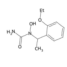 CCOc1ccccc1C(C)N(O)C(N)=O